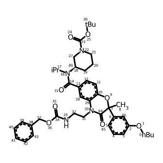 CCCCOc1cccc(C2(C)Oc3ccc(C(=O)N(C(C)C)[C@@H]4CCCN(C(=O)OC(C)(C)C)C4)cc3N(CCNC(=O)OCc3ccccc3)C2=O)c1